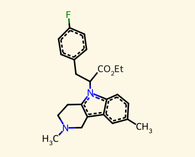 CCOC(=O)C(Cc1ccc(F)cc1)n1c2c(c3cc(C)ccc31)CN(C)CC2